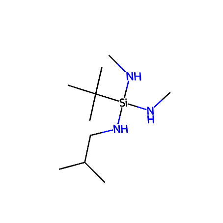 CN[Si](NC)(NCC(C)C)C(C)(C)C